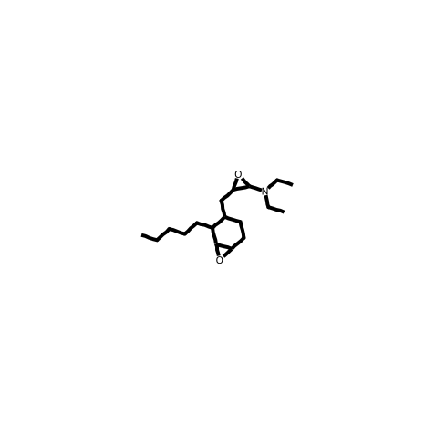 CCCCCC1C(CC2OC2N(CC)CC)CCC2OC21